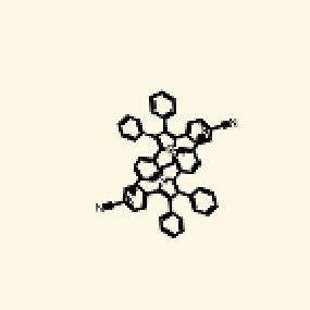 C[Si]1(CC[Si]2(C)C(c3ccc(C#N)cc3)=C(c3ccccc3)C(c3ccccc3)=C2c2ccc(C#N)cc2)C(c2ccc(C#N)cc2)=C(c2ccccc2)C(c2ccccc2)=C1c1ccc(C#N)cc1